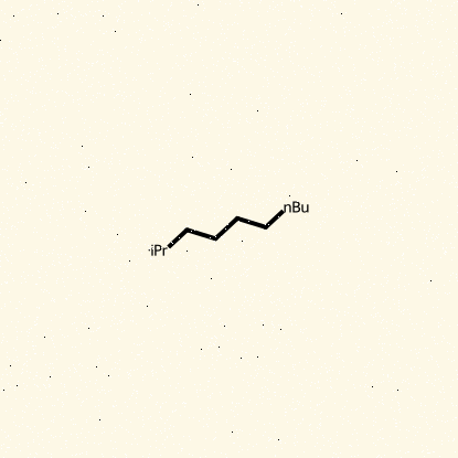 CCCCCCCC[C](C)C